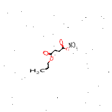 C=CCOC(=O)CCC(=O)O[N+](=O)[O-]